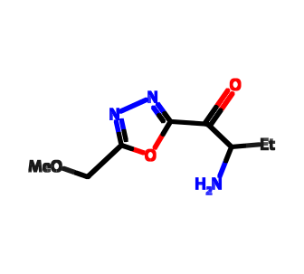 CCC(N)C(=O)c1nnc(COC)o1